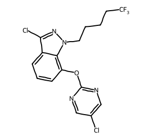 FC(F)(F)CCCCn1nc(Cl)c2cccc(Oc3ncc(Cl)cn3)c21